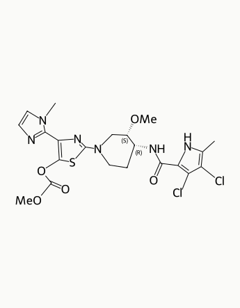 COC(=O)Oc1sc(N2CC[C@@H](NC(=O)c3[nH]c(C)c(Cl)c3Cl)[C@@H](OC)C2)nc1-c1nccn1C